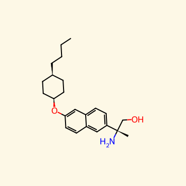 CCCC[C@H]1CC[C@@H](Oc2ccc3cc([C@@](C)(N)CO)ccc3c2)CC1